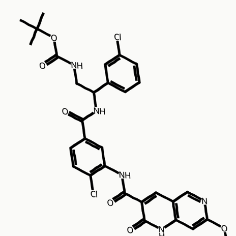 COc1cc2[nH]c(=O)c(C(=O)Nc3cc(C(=O)NC(CNC(=O)OC(C)(C)C)c4cccc(Cl)c4)ccc3Cl)cc2cn1